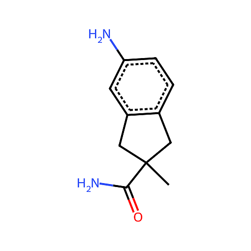 CC1(C(N)=O)Cc2ccc(N)cc2C1